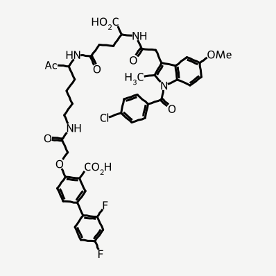 COc1ccc2c(c1)c(CC(=O)NC(CCC(=O)NC(CCCCNC(=O)COc1ccc(-c3ccc(F)cc3F)cc1C(=O)O)C(C)=O)C(=O)O)c(C)n2C(=O)c1ccc(Cl)cc1